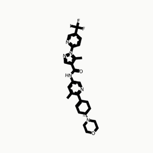 Cc1cc(NC(=O)c2cnn(-c3ccc(C(F)(F)I)cn3)c2C)cnc1C1=CC[C@@H](N2CCOCC2)CC1